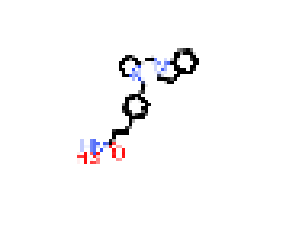 O=C(C=Cc1ccc(CN2CCC[C@H]2CN2CCc3ccccc32)cc1)NO